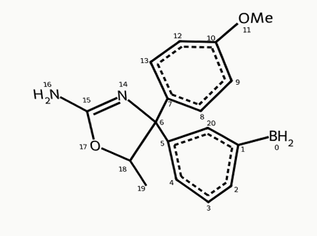 Bc1cccc(C2(c3ccc(OC)cc3)N=C(N)OC2C)c1